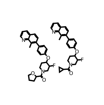 Cc1c(-c2ccc(OC3CCN(C(=O)C4CC4)CC3F)cc2)ccc2cccnc12.Cc1c(-c2ccc(OC3CCN(C(=O)C4CCCO4)CC3F)cc2)ccc2cccnc12